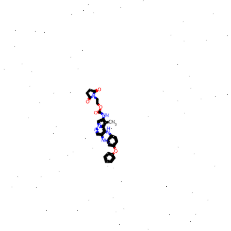 Cc1c(NC(=O)OCCN2C(=O)CCC2=O)cn2ncc(N)c(Nc3ccc(Oc4ccccc4)cc3)c12